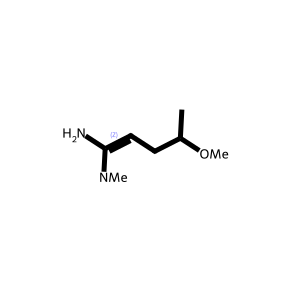 CN/C(N)=C\CC(C)OC